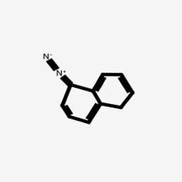 [N-]=[N+]=C1C=CC=C2CC=CC=C21